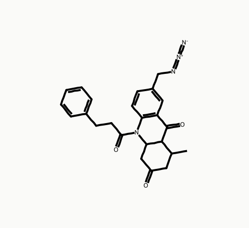 CC1CC(=O)CC2C1C(=O)c1cc(CN=[N+]=[N-])ccc1N2C(=O)CCc1ccccc1